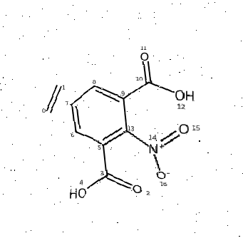 C=C.O=C(O)c1cccc(C(=O)O)c1[N+](=O)[O-]